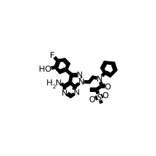 C=C(C(=O)N(CCn1nc(-c2ccc(F)c(O)c2)c2c(N)ncnc21)c1ccccc1)S(C)(=O)=O